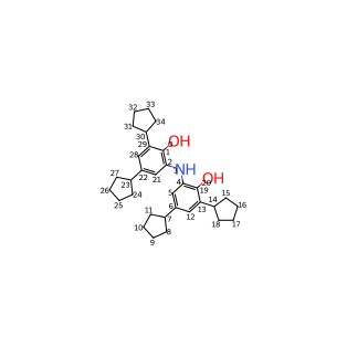 Oc1c(Nc2cc(C3CCCC3)cc(C3CCCC3)c2O)cc(C2CCCC2)cc1C1CCCC1